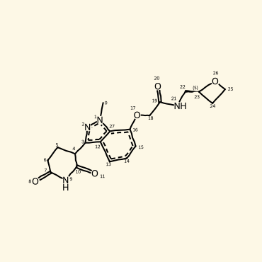 Cn1nc(C2CCC(=O)NC2=O)c2cccc(OCC(=O)NC[C@@H]3CCO3)c21